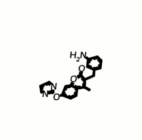 Cc1c(Cc2cccc(N)c2)c(=O)oc2cc(Oc3ncccn3)ccc12